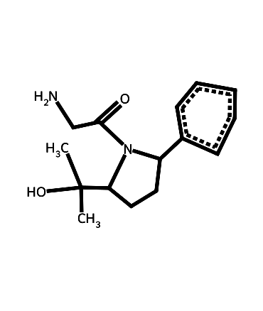 CC(C)(O)C1CCC(c2ccccc2)N1C(=O)CN